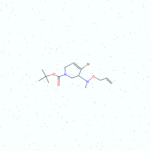 C=CCON(C)C1CN(C(=O)OC(C)(C)C)CC=C1Br